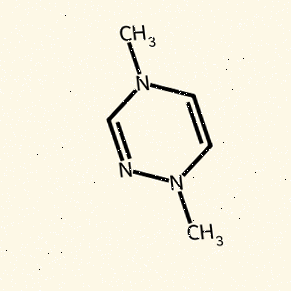 CN1C=CN(C)N=C1